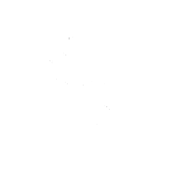 CCc1nc2c[n+]([O-])c3cc(OCC(=O)N4CCOCC4)ccc3c2n1CC(C)C